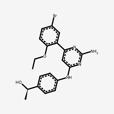 CCOc1ccc(Br)cc1-c1cc(Nc2ccc([C@@H](C)O)cc2)nc(N)n1